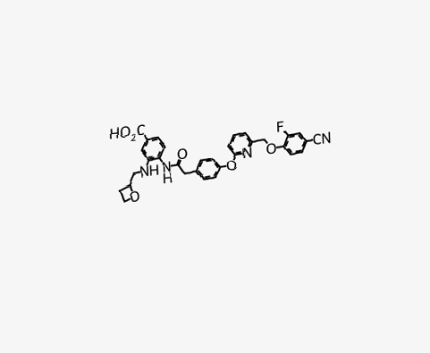 N#Cc1ccc(OCc2cccc(Oc3ccc(CC(=O)Nc4ccc(C(=O)O)cc4NCC4CCO4)cc3)n2)c(F)c1